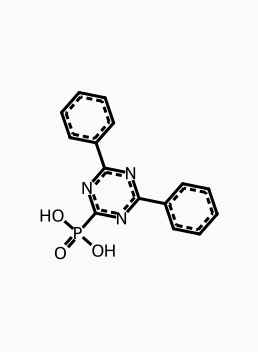 O=P(O)(O)c1nc(-c2ccccc2)nc(-c2ccccc2)n1